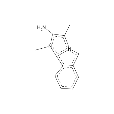 Cc1c(N)n(C)c2c3ccccc3cn12